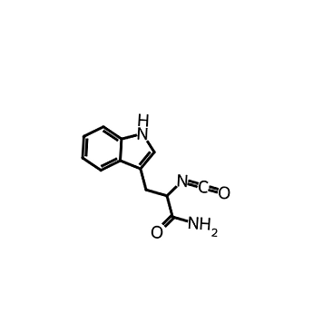 NC(=O)C(Cc1c[nH]c2ccccc12)N=C=O